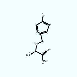 CCC[C@@H](OCc1ccc(Br)cc1)C(=O)OC